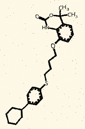 CC1(C)OC(=O)Nc2c(OCCCCSc3ccc(C4CCCCC4)cc3)cccc21